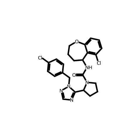 O=C(NC1CCCOc2cccc(Cl)c21)N1CCCC1c1ncnn1Cc1ccc(Cl)cc1